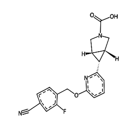 N#Cc1ccc(COc2cccc([C@@H]3[C@@H]4CN(C(=O)O)C[C@@H]43)n2)c(F)c1